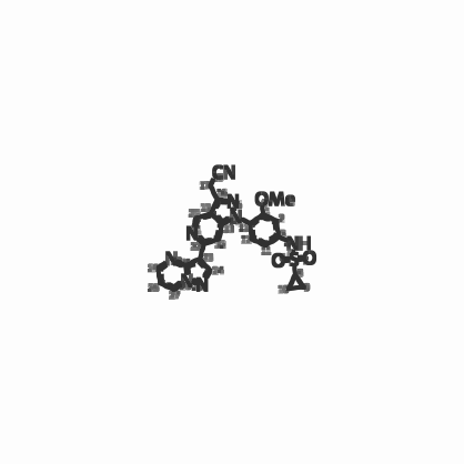 COc1cc(NS(=O)(=O)C2CC2)ccc1-n1nc(CC#N)c2cnc(-c3cnn4cccnc34)cc21